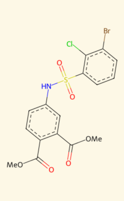 COC(=O)c1ccc(NS(=O)(=O)c2cccc(Br)c2Cl)cc1C(=O)OC